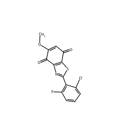 COC1=CC(=O)c2sc(-c3c(F)cccc3Cl)nc2C1=O